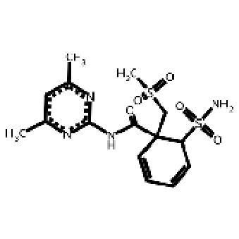 Cc1cc(C)nc(NC(=O)C2(CS(C)(=O)=O)C=CC=CC2S(N)(=O)=O)n1